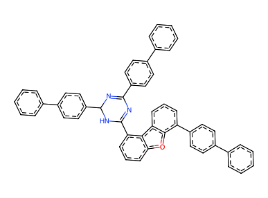 c1ccc(-c2ccc(C3=NC(c4ccc(-c5ccccc5)cc4)NC(c4cccc5oc6c(-c7ccc(-c8ccccc8)cc7)cccc6c45)=N3)cc2)cc1